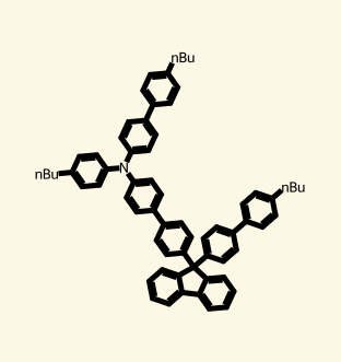 CCCCc1ccc(-c2ccc(N(c3ccc(CCCC)cc3)c3ccc(-c4ccc(C5(c6ccc(-c7ccc(CCCC)cc7)cc6)c6ccccc6-c6ccccc65)cc4)cc3)cc2)cc1